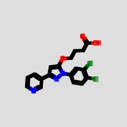 O=C(O)CCCOc1cc(-c2cccnc2)nn1-c1ccc(Cl)c(Cl)c1